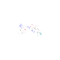 Cn1ncc2c1-c1ccccc1OC21CCN(C(=O)c2cnc3cc(C(F)(F)F)ccc3c2O)CC1